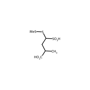 CSSC(CC(C)C(=O)O)S(=O)(=O)O